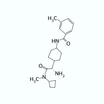 Cc1cccc(C(=O)NC2CCC([C@H](N)C(=O)N(C)C3CCC3)CC2)c1